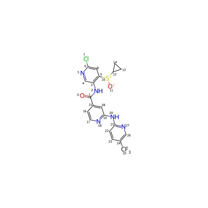 O=C(Nc1cnc(Cl)cc1[S+]([O-])C1CC1)c1ccnc(Nc2ccc(C(F)(F)F)cn2)c1